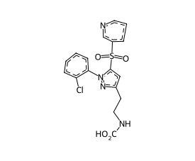 O=C(O)NCCc1cc(S(=O)(=O)c2cccnc2)n(-c2ccccc2Cl)n1